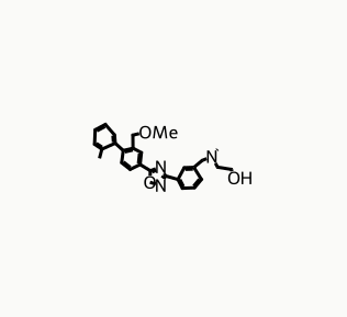 COCc1cc(-c2nc(-c3cccc(CN(C)CCO)c3)no2)ccc1-c1ccccc1C